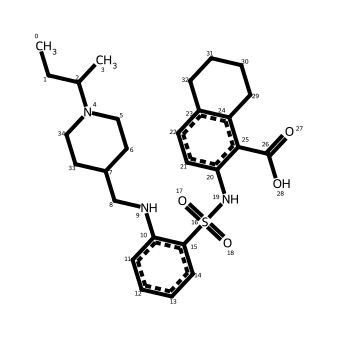 CCC(C)N1CCC(CNc2ccccc2S(=O)(=O)Nc2ccc3c(c2C(=O)O)CCCC3)CC1